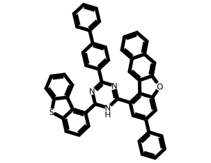 c1ccc(-c2ccc(C3=NC(c4cccc5sc6ccccc6c45)NC(c4cc(-c5ccccc5)cc5oc6cc7ccccc7cc6c45)=N3)cc2)cc1